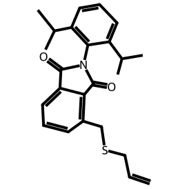 C=CCSCc1cccc2c1C(=O)N(c1c(C(C)C)cccc1C(C)C)C2=O